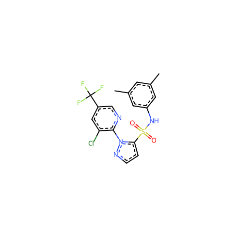 Cc1cc(C)cc(NS(=O)(=O)c2ccnn2-c2ncc(C(F)(F)F)cc2Cl)c1